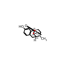 CN1CC[C@]23CC(=O)CC[C@@]2(O)[C@H]1Cc1ccc(O)cc13